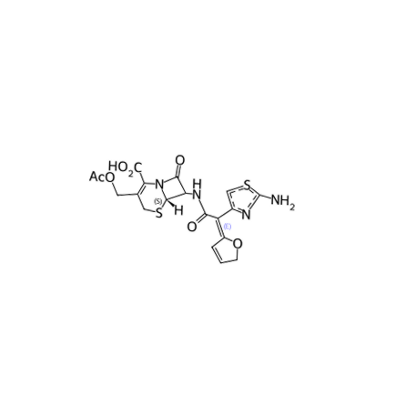 CC(=O)OCC1=C(C(=O)O)N2C(=O)C(NC(=O)/C(=C3\C=CCO3)c3csc(N)n3)[C@@H]2SC1